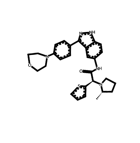 C[C@H]1CCCN1[C@H](C(=O)Nc1ccc2[nH]nc(-c3ccc(N4CCOCC4)cc3)c2c1)c1cccs1